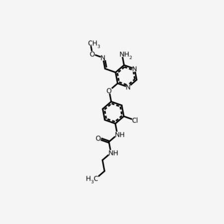 CCCNC(=O)Nc1ccc(Oc2ncnc(N)c2C=NOC)cc1Cl